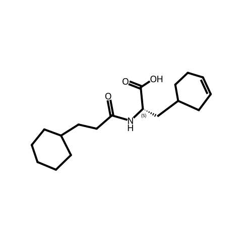 O=C(CCC1CCCCC1)N[C@@H](CC1CC=CCC1)C(=O)O